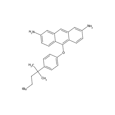 CC(C)(C)CCC(C)(C)c1ccc(Oc2c3ccc(N)cc3cc3cc(N)ccc23)cc1